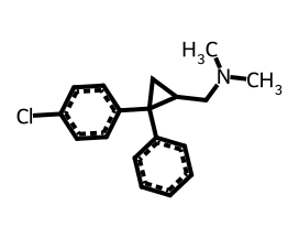 CN(C)CC1CC1(c1ccccc1)c1ccc(Cl)cc1